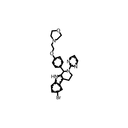 Brc1ccc2[nH]c3c(c2c1)CCN(c1ncccn1)C3c1ccc(OCCN2CCOCC2)cc1